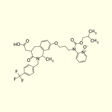 CC(C)COC(=O)N(CCCOc1ccc2c(c1)C(C)N(Cc1ccc(C(F)(F)F)cc1)C(=O)C(CC(=O)O)C2)c1cccc[n+]1[O-]